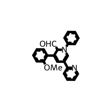 COc1ccccc1C1=CC(c2ccccn2)=CN(c2ccccc2)C1C=O